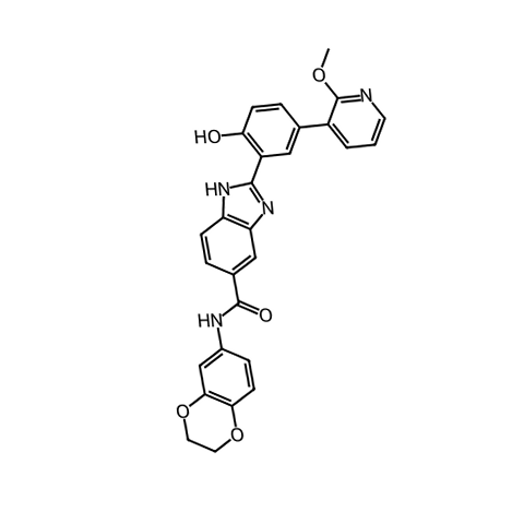 COc1ncccc1-c1ccc(O)c(-c2nc3cc(C(=O)Nc4ccc5c(c4)OCCO5)ccc3[nH]2)c1